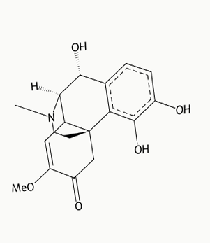 COC1=CC2[C@@H]3[C@H](O)c4ccc(O)c(O)c4[C@]2(CCN3C)CC1=O